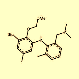 COCOc1c(Pc2c(C)cccc2CP(C)C)cc(C)cc1C(C)(C)C